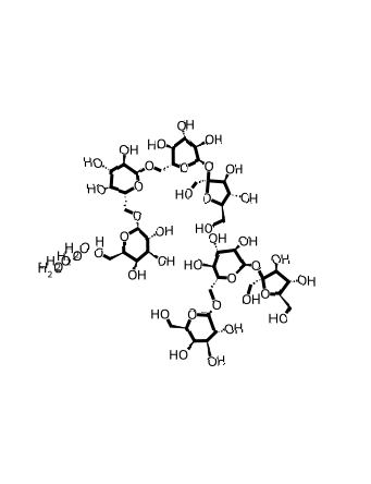 O.O.O.O.OC[C@H]1O[C@H](OC[C@H]2O[C@H](OC[C@H]3O[C@H](O[C@]4(CO)O[C@H](CO)[C@@H](O)[C@@H]4O)[C@H](O)[C@@H](O)[C@@H]3O)[C@H](O)[C@@H](O)[C@H]2O)[C@H](O)[C@@H](O)[C@H]1O.OC[C@H]1O[C@H](OC[C@H]2O[C@H](O[C@]3(CO)O[C@H](CO)[C@@H](O)[C@@H]3O)[C@H](O)[C@@H](O)[C@@H]2O)[C@H](O)[C@@H](O)[C@H]1O